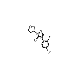 O=c1n(-c2ccc(Br)cc2F)cnn1C1CCOC1